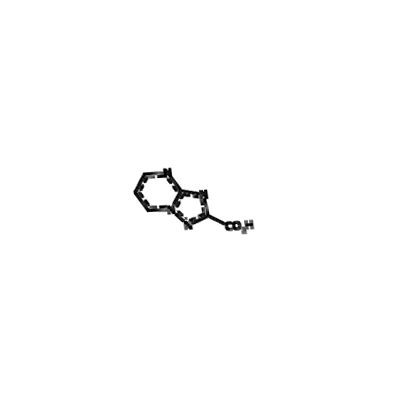 O=C(O)c1nc2ncccn2n1